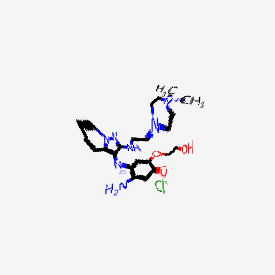 C[N+]1(C)CCN(CCNc2nn3ccccc3c2/N=C2\C=C(OCCO)C(=O)C=C2N)CC1.[Cl-]